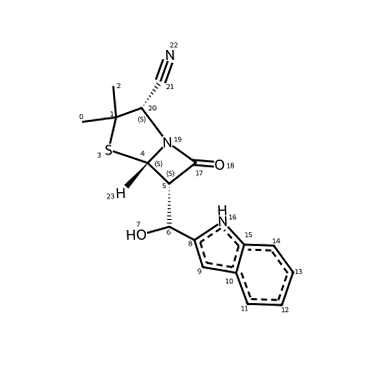 CC1(C)S[C@H]2[C@@H](C(O)c3cc4ccccc4[nH]3)C(=O)N2[C@H]1C#N